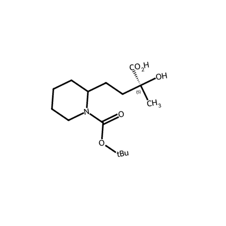 CC(C)(C)OC(=O)N1CCCCC1CC[C@](C)(O)C(=O)O